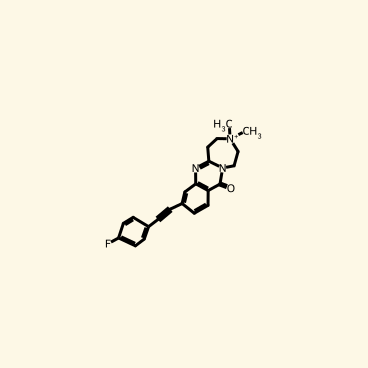 C[N+]1(C)CCc2nc3cc(C#Cc4ccc(F)cc4)ccc3c(=O)n2CC1